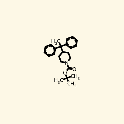 CC(C)(C)OC(=O)N1CCC(C(C)(c2ccccc2)c2ccccc2)CC1